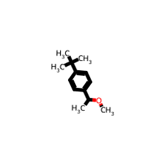 COC(C)c1ccc(C(C)(C)C)cc1